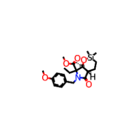 CCC1(C(=O)OC)N(Cc2ccc(OC)cc2)C(=O)[C@@H]2CC[Si](C)(C)O[C@@]21C